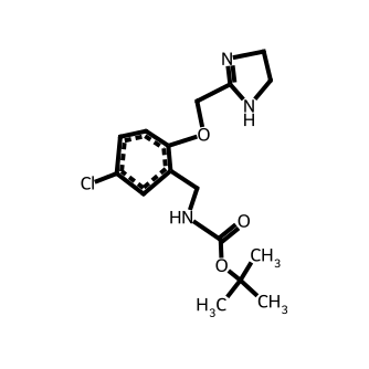 CC(C)(C)OC(=O)NCc1cc(Cl)ccc1OCC1=NCCN1